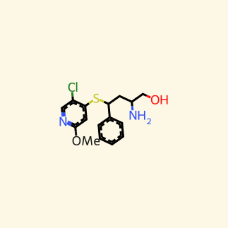 COc1cc(SC(CC(N)CO)c2ccccc2)c(Cl)cn1